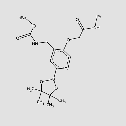 CC(C)NC(=O)COc1ccc(B2OC(C)(C)C(C)(C)O2)cc1CNC(=O)OC(C)(C)C